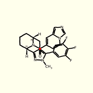 Cn1nc2c(c1-c1cc(F)c(F)c(F)c1)C[C@H]1CCC[C@@H]2N1C(=O)c1ccn2cncc2c1